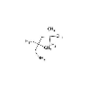 BCC(C)(C)CC(C)(C)C